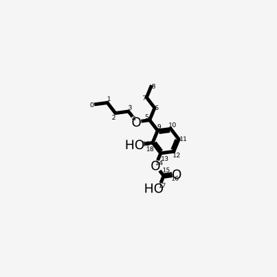 CCCCOC(CCC)c1cccc(OC(=O)O)c1O